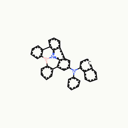 c1ccc(N(c2cc3c4c(c2)c2cccc5c2n4B(c2ccccc2-5)c2ccccc2-3)c2cccc3ccccc23)cc1